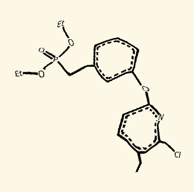 CCOP(=O)(Cc1cccc(Oc2ccc(C)c(Cl)n2)c1)OCC